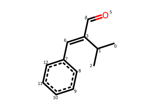 CC(C)/C([C]=O)=C\c1ccccc1